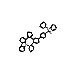 c1ccc(-n2c(-c3ccc(-c4ccc5c(c4)c4ccccc4c4cccc6c7ccccc7n(c7ccccc57)c46)cc3)nc3ccccc32)cc1